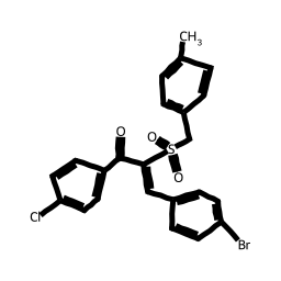 Cc1ccc(CS(=O)(=O)/C(=C\c2ccc(Br)cc2)C(=O)c2ccc(Cl)cc2)cc1